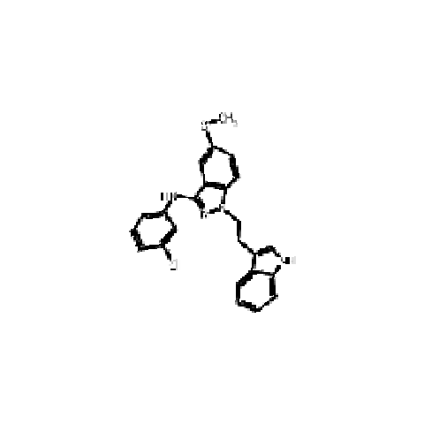 COc1ccc2c(c1)c(Nc1cccc(Cl)c1)nn2CCc1c[nH]c2ccccc12